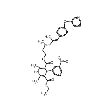 CCOC(=O)C1=C(C)NC(C)=C(C(=O)OCCN(C)C/C(C)=C/c2ccc(Oc3cccnc3)cc2)C1c1cccc([N+](=O)[O-])c1